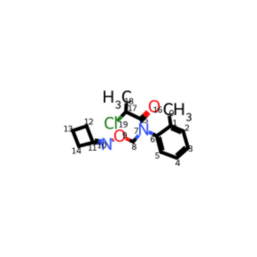 Cc1ccccc1N(CON=C1CCC1)C(=O)C(C)Cl